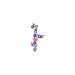 CC(C)c1ccccc1[C@@H]1CCCN1C1CC2(CCN(c3ccc(C(=O)NS(=O)(=O)c4cc5c(c([N+](=O)[O-])c4)N[C@@H](C4CCC(C)(C)CC4)CO5)c(Oc4cc5cc[nH]c5nc4N)c3)CC2)C1